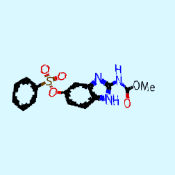 COC(=O)Nc1nc2cc(OS(=O)(=O)c3ccccc3)ccc2[nH]1